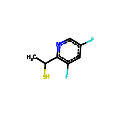 CC(S)c1ncc(F)cc1F